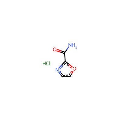 Cl.NC(=O)c1ncco1